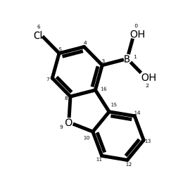 OB(O)c1cc(Cl)cc2oc3ccccc3c12